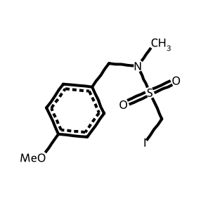 COc1ccc(CN(C)S(=O)(=O)CI)cc1